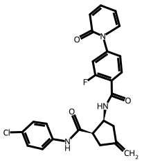 C=C1C[C@H](NC(=O)c2ccc(-n3ccccc3=O)cc2F)[C@H](C(=O)Nc2ccc(Cl)cc2)C1